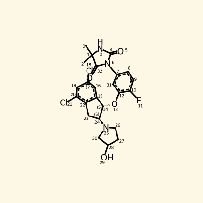 CC1(C)NC(=O)N(c2ccc(F)c(O[C@H]3c4cc(Cl)cc(Cl)c4C[C@@H]3N3CCC(O)C3)c2)C1=O